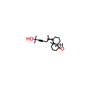 C[C@H](CC#CC(C)(C)O)[C@H]1CCC[C@H]2C(=O)CCC[C@]12C